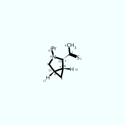 CC(=S)[C@@H]1[C@@H]2C[C@@H]2CN1C(C)C